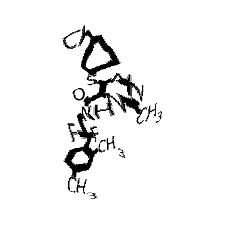 Cc1ccc(C(F)(F)CNC(=O)c2nc(C)nnc2Sc2cccc(Cl)c2)c(C)c1